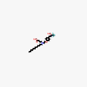 CCCCCCCCCCCCN(CCCC(=O)O)CCOc1ccc(C/C=C(\O)C(F)(F)F)cc1